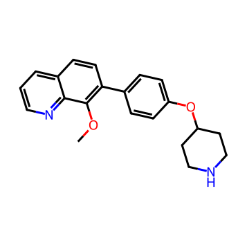 COc1c(-c2ccc(OC3CCNCC3)cc2)ccc2cccnc12